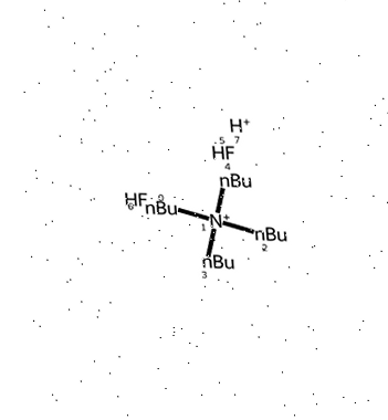 CCCC[N+](CCCC)(CCCC)CCCC.F.F.[H+]